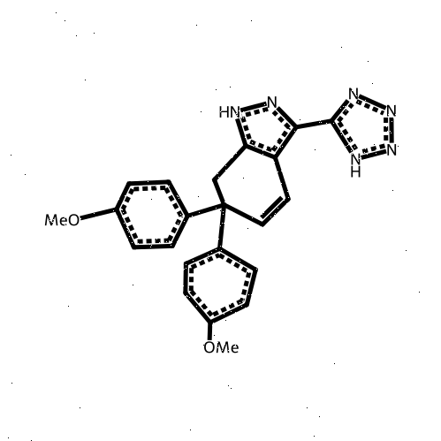 COc1ccc(C2(c3ccc(OC)cc3)C=Cc3c(-c4nnn[nH]4)n[nH]c3C2)cc1